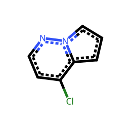 Clc1ccnn2cccc12